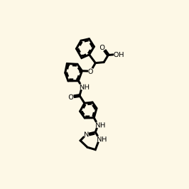 O=C(O)CC(Oc1ccccc1NC(=O)c1ccc(NC2=NCCCN2)cc1)c1ccccc1